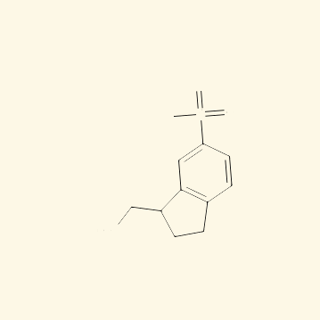 CCOC(=O)CC1CCc2ccc(S(=O)(=O)Cl)cc21